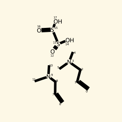 C=CCN(C)C.C=CCN(C)C.O=S(O)S(=O)O